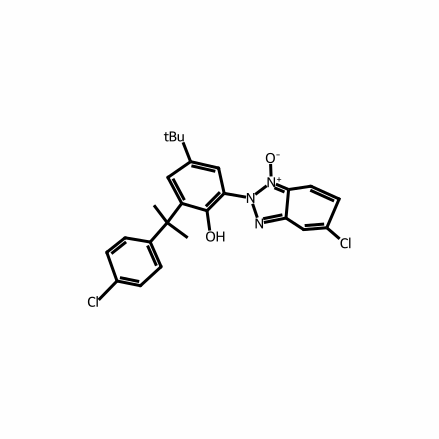 CC(C)(C)c1cc(-n2nc3cc(Cl)ccc3[n+]2[O-])c(O)c(C(C)(C)c2ccc(Cl)cc2)c1